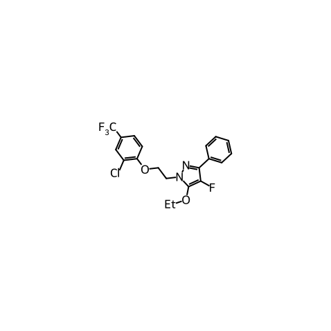 CCOc1c(F)c(-c2ccccc2)nn1CCOc1ccc(C(F)(F)F)cc1Cl